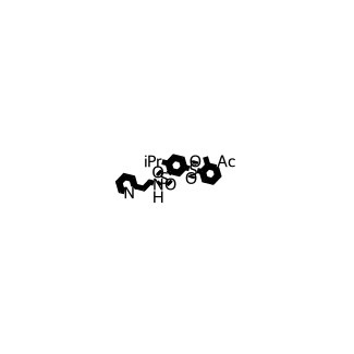 CC(=O)c1cccc(S(=O)(=O)c2ccc(C(C)C)c(S(=O)(=O)NCCc3ccccn3)c2)c1C